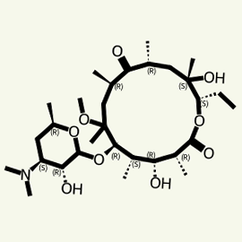 CC[C@@H]1OC(=O)[C@H](C)[C@H](O)[C@H](C)[C@@H](OC2O[C@H](C)C[C@H](N(C)C)[C@H]2O)C(C)(OC)C[C@@H](C)C(=O)[C@H](C)C[C@]1(C)O